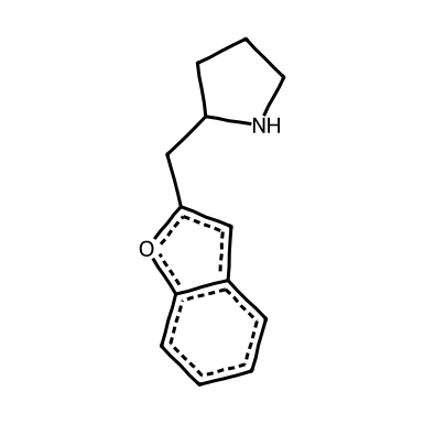 c1ccc2oc(CC3CCCN3)cc2c1